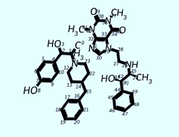 CC(C(O)c1ccc(O)cc1)N1CCC(Cc2ccccc2)CC1.C[C@H](NCCn1cnc2c1c(=O)n(C)c(=O)n2C)[C@H](O)c1ccccc1